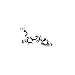 C#CCOc1cc(-c2nnc(-c3ccc(C)nc3)o2)ccc1Br